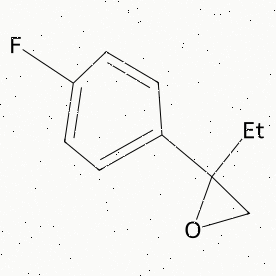 CCC1(c2ccc(F)cc2)CO1